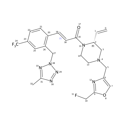 C=C[C@@H]1CN(Cc2coc(CF)n2)CCN1C(=O)/C=C/c1ccc(C(F)(F)F)cc1Cn1nnc(C)n1